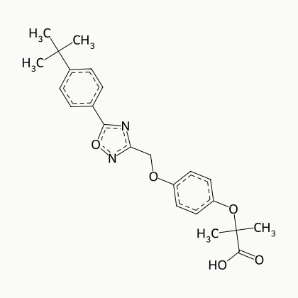 CC(C)(Oc1ccc(OCc2noc(-c3ccc(C(C)(C)C)cc3)n2)cc1)C(=O)O